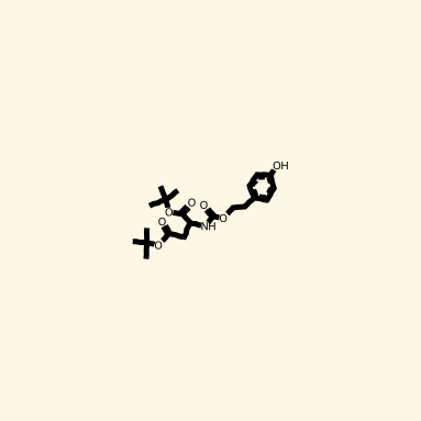 CC(C)(C)OC(=O)CC(NC(=O)OCCc1ccc(O)cc1)C(=O)OC(C)(C)C